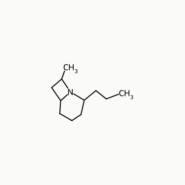 CCCC1CCCC2CC(C)N12